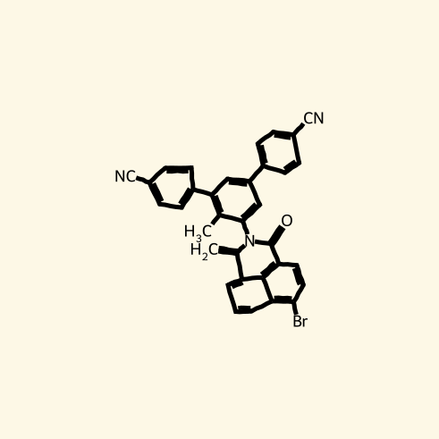 C=c1c2cccc3c(Br)ccc(c(=O)n1-c1cc(-c4ccc(C#N)cc4)cc(-c4ccc(C#N)cc4)c1C)c32